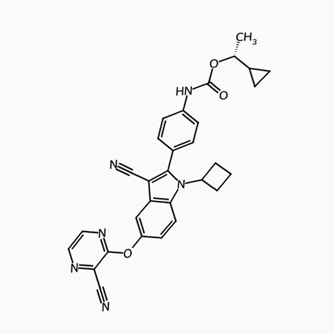 C[C@@H](OC(=O)Nc1ccc(-c2c(C#N)c3cc(Oc4nccnc4C#N)ccc3n2C2CCC2)cc1)C1CC1